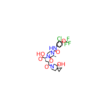 C[C@H]1C(=O)N([C@@H](CCC(=O)N2CCC3(CC3)[C@H](O)C2)C(=O)O)CCN1C(=O)Nc1ccc(OC(F)(F)F)c(Cl)c1